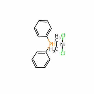 CC.[Cl][Ni][Cl].c1ccc(Pc2ccccc2)cc1